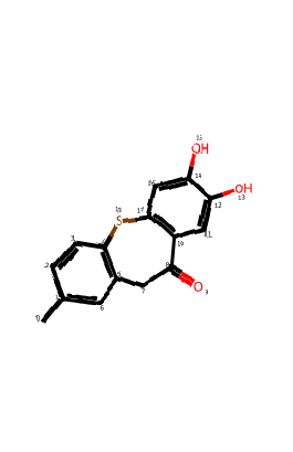 Cc1ccc2c(c1)CC(=O)c1cc(O)c(O)cc1S2